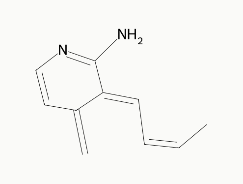 C=c1ccnc(N)/c1=C/C=C\C